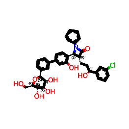 O=C1[C@H](CC[C@H](O)c2cccc(Cl)c2)[C@@H](c2ccc(-c3cccc([C@@H]4O[C@H](CO)[C@@H](O)[C@H](O)[C@H]4O)c3)cc2O)N1c1ccccc1